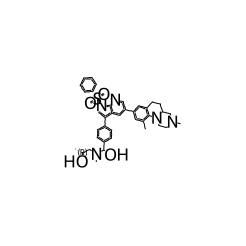 Cc1cc(-c2cnc3c(c2)c(-c2ccc(C(O)N(C)C[C@@H](C)O)cc2)cn3S(=O)(=O)c2ccccc2)cc2c1N1CCN(C)CC1CC2